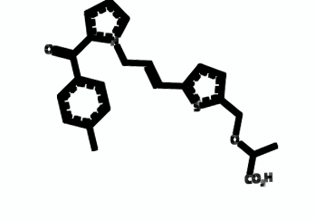 Cc1ccc(C(=O)c2cccn2C/C=C/c2ccc(COC(C)C(=O)O)s2)cc1